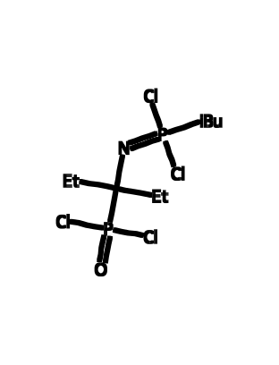 CCC(C)P(Cl)(Cl)=NC(CC)(CC)P(=O)(Cl)Cl